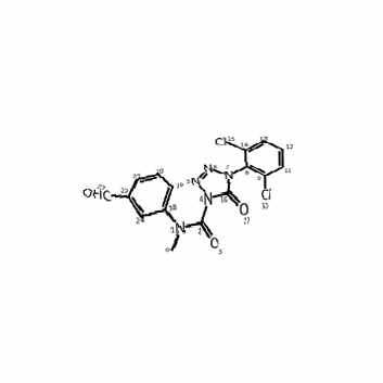 CN(C(=O)n1nnn(-c2c(Cl)cccc2Cl)c1=O)c1cccc(C=O)c1